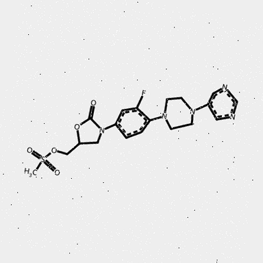 CS(=O)(=O)OCC1CN(c2ccc(N3CCN(c4cncnc4)CC3)c(F)c2)C(=O)O1